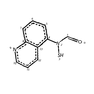 O=CN(S)c1cccc2ncccc12